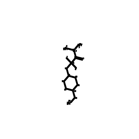 C=C(N(CCC)CCC)C(C)(C)CC1CCC(CC(C)C)CC1